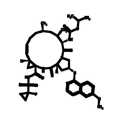 COc1ccc2c(O[C@@H]3C[C@H]4C(=O)N[C@]5(C(=O)NS(=O)(=O)C6(F)CC6)C[C@H]5/C=C\CC[C@@H](C)C[C@@H](C)[C@H](NC(=O)OC(C)C)C(=O)N4C3)nccc2c1